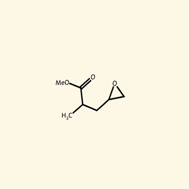 COC(=O)C(C)CC1CO1